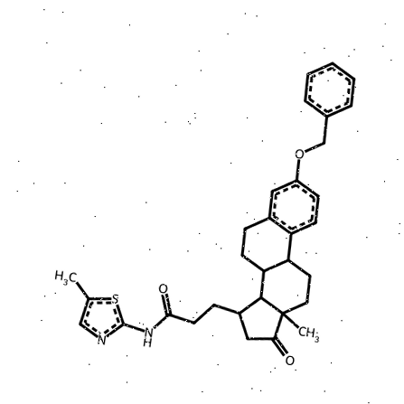 Cc1cnc(NC(=O)CCC2CC(=O)C3(C)CCC4c5ccc(OCc6ccccc6)cc5CCC4C23)s1